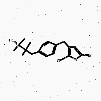 CC(C)(Cc1ccc(Cc2cc(Br)sc2Cl)cc1)[Si](C)(C)O